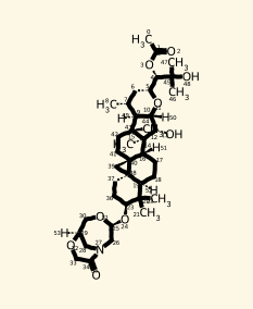 CC(=O)O[C@@H]([C@H]1C[C@@H](C)[C@H]2[C@H](O1)[C@H](O)[C@@]1(C)[C@@H]3CC[C@H]4C(C)(C)[C@@H](O[C@H]5CN6C[C@H](CO5)OCC6=O)CC[C@@]45C[C@@]35CC[C@]21C)C(C)(C)O